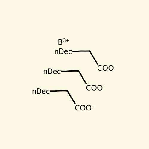 CCCCCCCCCCCC(=O)[O-].CCCCCCCCCCCC(=O)[O-].CCCCCCCCCCCC(=O)[O-].[B+3]